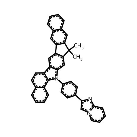 CC1(C)c2cc3ccccc3cc2-c2cc3c4ccc5ccccc5c4n(-c4ccc(-c5cn6ccccc6n5)cc4)c3cc21